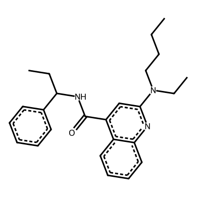 CCCCN(CC)c1cc(C(=O)NC(CC)c2ccccc2)c2ccccc2n1